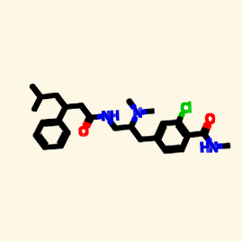 CNC(=O)c1ccc(CC(CNC(=O)CC(CC(C)C)c2ccccc2)N(C)C)cc1Cl